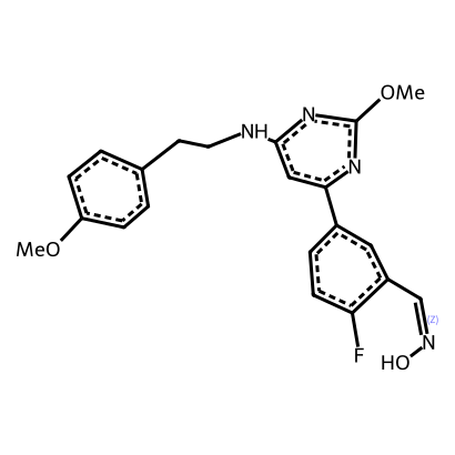 COc1ccc(CCNc2cc(-c3ccc(F)c(/C=N\O)c3)nc(OC)n2)cc1